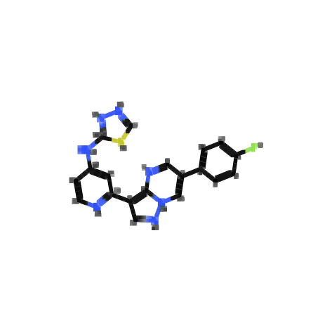 Fc1ccc(-c2cnc3c(-c4cc(Nc5nncs5)ccn4)cnn3c2)cc1